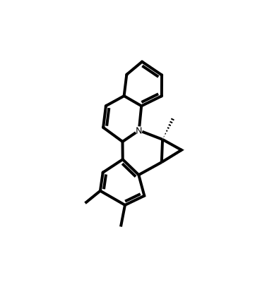 Cc1cc2c(cc1C)C1C[C@]1(C)N1C3=CC=CCC3C=CC21